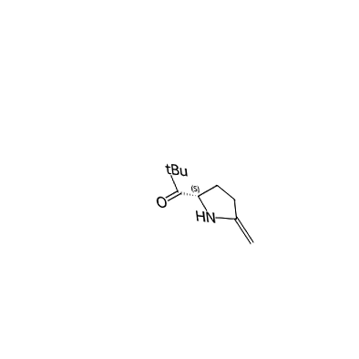 C=C1CC[C@@H](C(=O)C(C)(C)C)N1